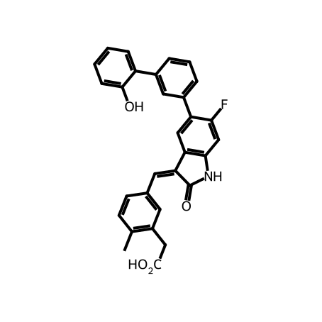 Cc1ccc(/C=C2\C(=O)Nc3cc(F)c(-c4cccc(-c5ccccc5O)c4)cc32)cc1CC(=O)O